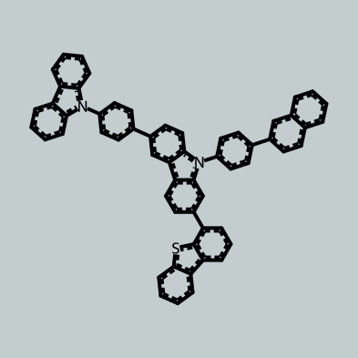 c1ccc2cc(-c3ccc(-n4c5ccc(-c6ccc(-n7c8ccccc8c8ccccc87)cc6)cc5c5ccc(-c6cccc7c6sc6ccccc67)cc54)cc3)ccc2c1